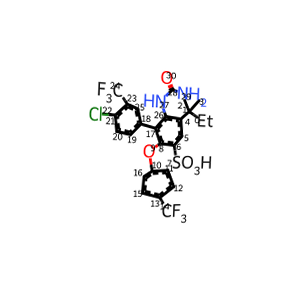 CCC(C)(C)c1cc(S(=O)(=O)O)c(Oc2ccc(C(F)(F)F)cc2)c(-c2ccc(Cl)c(C(F)(F)F)c2)c1NC(N)=O